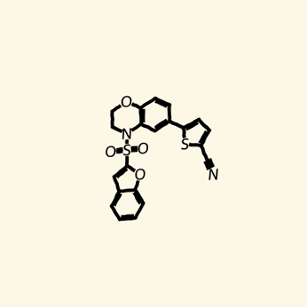 N#Cc1ccc(-c2ccc3c(c2)N(S(=O)(=O)c2cc4ccccc4o2)CCO3)s1